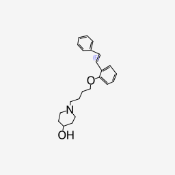 OC1CCN(CCCCOc2ccccc2/C=C/c2ccccc2)CC1